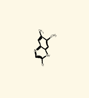 CC1=CC2=NC=C(Cl)NC2C=C1C